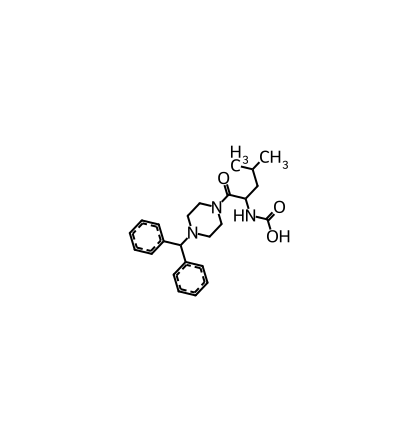 CC(C)CC(NC(=O)O)C(=O)N1CCN(C(c2ccccc2)c2ccccc2)CC1